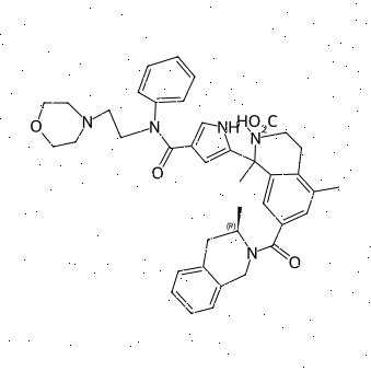 Cc1cc(C(=O)N2Cc3ccccc3C[C@H]2C)cc2c1CCN(C(=O)O)C2(C)c1cc(C(=O)N(CCN2CCOCC2)c2ccccc2)c[nH]1